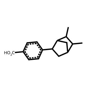 CC1C2CC(c3ccc(C(=O)O)cc3)C(C2)C1C